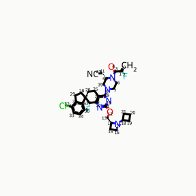 C=C(F)C(=O)N1CCN(c2nc(OC[C@@H]3CCN3C3CCC3)nc3c2CC[C@@]2(CCc4c(Cl)cccc42)[C@H]3F)C[C@@H]1CC#N